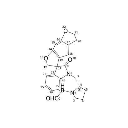 O=CBN1CCC[C@H]1CN1C(=O)C2(COc3cc4c(cc32)CCO4)c2ccccc21